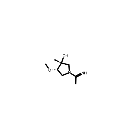 CO[C@H]1CN(C(C)=N)C[C@@]1(C)O